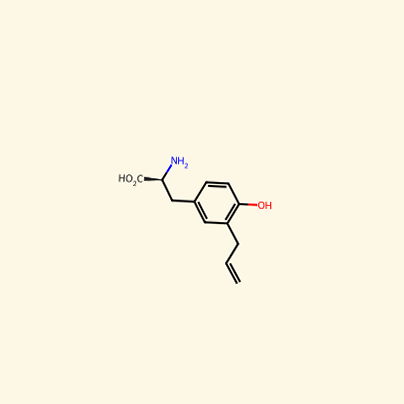 C=CCc1cc(C[C@H](N)C(=O)O)ccc1O